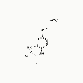 CCOC(=O)CCOc1ccc(NC(=O)OC(C)(C)C)c(C)c1